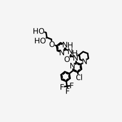 O=C(Nc1ncc(OC[C@@H](O)CO)cn1)N1c2nc(-c3cccc(C(F)(F)F)c3)c(Cl)cc2N2CCC[C@H]1C2